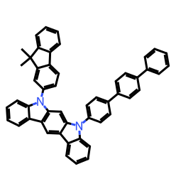 CC1(C)c2ccccc2-c2ccc(-n3c4ccccc4c4cc5c6ccccc6n(-c6ccc(-c7ccc(-c8ccccc8)cc7)cc6)c5cc43)cc21